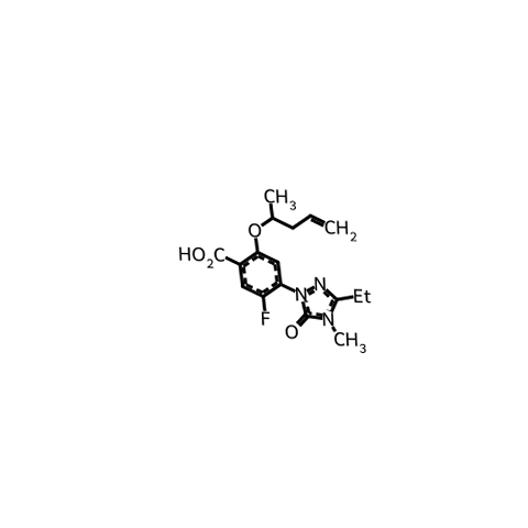 C=CCC(C)Oc1cc(-n2nc(CC)n(C)c2=O)c(F)cc1C(=O)O